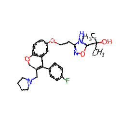 CC(C)(O)C1NC(CCOc2ccc3c(c2)C(c2ccc(F)cc2)=C(CN2CCCC2)CO3)=NO1